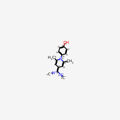 [C-]#[N+]C([N+]#[C-])=C1C=C(C)N(c2ccc(O)cc2)C(C)=C1